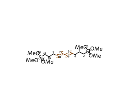 CO[Si](CCCSSSSCCC[Si](OC)(OC)OC)(OC)OC